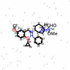 CO[N+](C)(C=O)[C@@H]1C[C@]2(c3ccccc3)N[C@H]1CC[C@H]2NCc1cc(OC(F)(F)F)ccc1OC1CC1